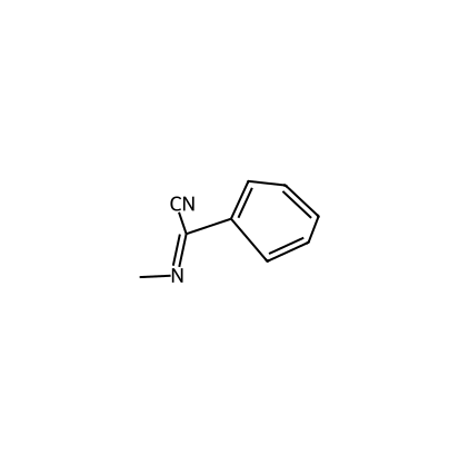 CN=C(C#N)c1ccccc1